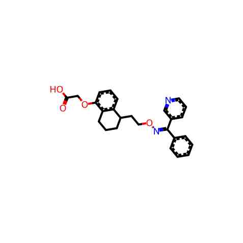 O=C(O)COc1cccc2c1CCCC2CCO/N=C(/c1ccccc1)c1cccnc1